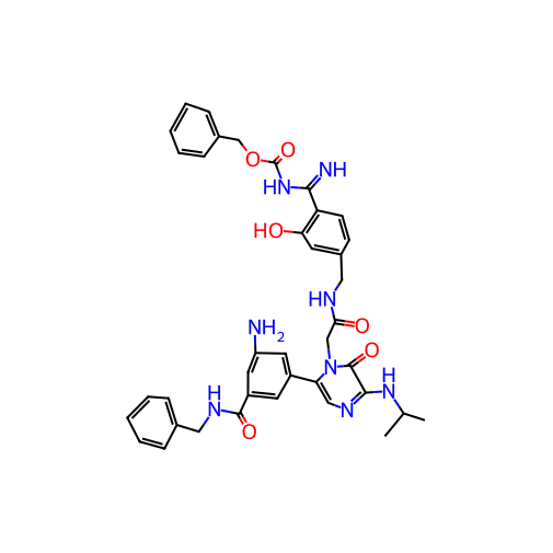 CC(C)Nc1ncc(-c2cc(N)cc(C(=O)NCc3ccccc3)c2)n(CC(=O)NCc2ccc(C(=N)NC(=O)OCc3ccccc3)c(O)c2)c1=O